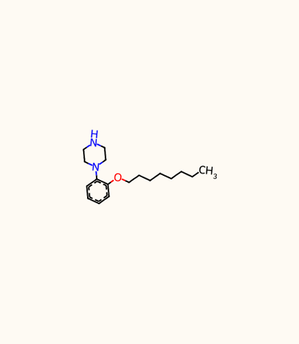 CCCCCCCCOc1ccccc1N1CCNCC1